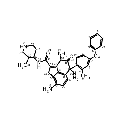 Cc1cc(Oc2ccccc2)ccc1C1(N)C(=O)C(N)c2c(C(=O)NC3CCNCC3C)sc3c(N)ccc1c23